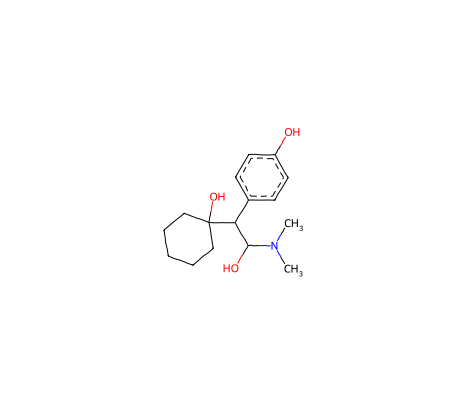 CN(C)C(O)C(c1ccc(O)cc1)C1(O)CCCCC1